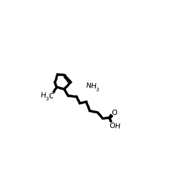 CC1CCC=CC1CCCCCCCC(=O)O.N